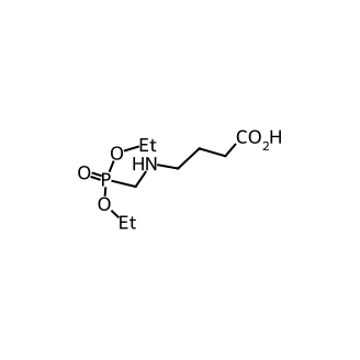 CCOP(=O)(CNCCCC(=O)O)OCC